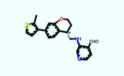 Cc1sccc1-c1ccc2c(c1)OCC[C@@H]2CNc1cnccc1C=O